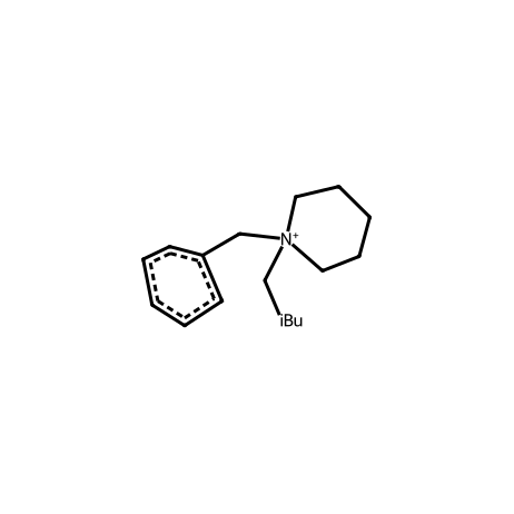 CCC(C)C[N+]1(Cc2ccccc2)CCCCC1